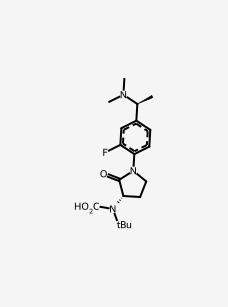 C[C@@H](c1ccc(N2CC[C@H](N(C(=O)O)C(C)(C)C)C2=O)c(F)c1)N(C)C